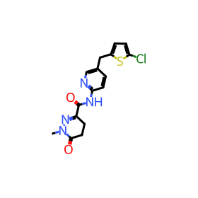 CN1N=C(C(=O)Nc2ccc(Cc3ccc(Cl)s3)cn2)CCC1=O